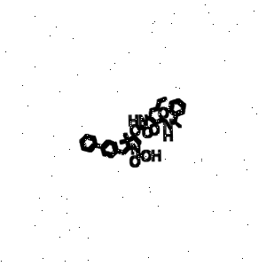 CCCC[C@H](NC(=O)O[C@@H]1CN(C(=O)O)C(Cc2ccc(-c3ccccc3)cc2)C1(C)C)C(=O)C(=O)N[C@H](C)c1ccccc1